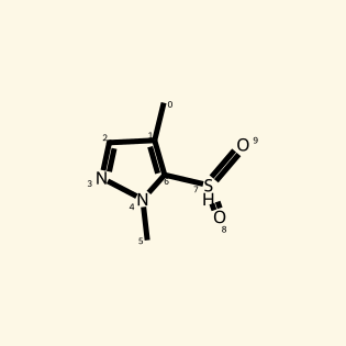 Cc1cnn(C)c1[SH](=O)=O